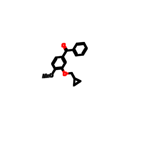 COc1ccc(C(=O)c2ccccc2)cc1OCC1CC1